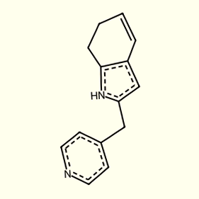 C1=Cc2cc(Cc3ccncc3)[nH]c2CC1